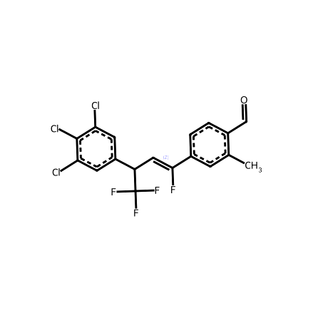 Cc1cc(/C(F)=C/C(c2cc(Cl)c(Cl)c(Cl)c2)C(F)(F)F)ccc1C=O